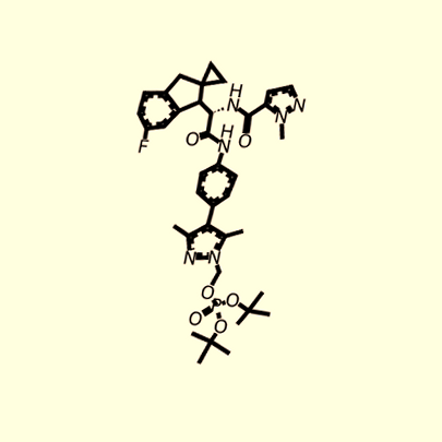 Cc1nn(COP(=O)(OC(C)(C)C)OC(C)(C)C)c(C)c1-c1ccc(NC(=O)[C@@H](NC(=O)c2ccnn2C)C2c3cc(F)ccc3CC23CC3)cc1